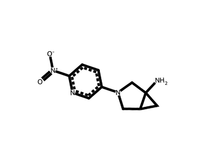 NC12CC1CN(c1ccc([N+](=O)[O-])nc1)C2